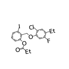 CCC(=O)Oc1cccc(I)c1COc1cc(F)c(CC)cc1Cl